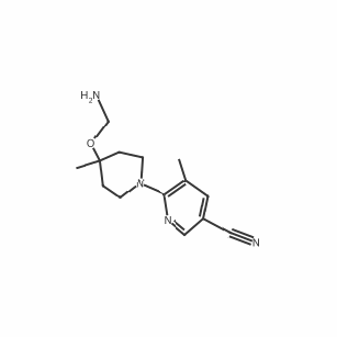 Cc1cc(C#N)cnc1N1CCC(C)(OCN)CC1